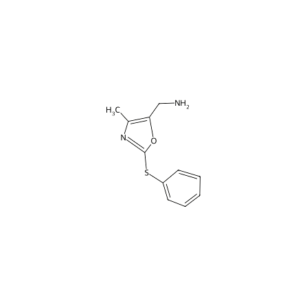 Cc1nc(Sc2ccccc2)oc1CN